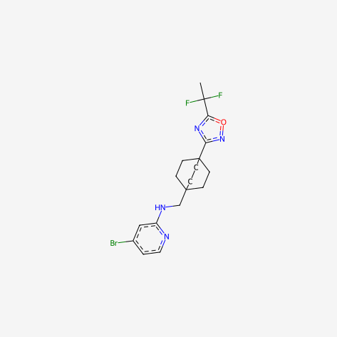 CC(F)(F)c1nc(C23CCC(CNc4cc(Br)ccn4)(CC2)CC3)no1